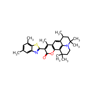 Cc1cc(C)c2sc(-c3c(C)c4cc5c6c(c4oc3=O)C(C)(C)CCN6C(C)(C)CC5C)nc2c1